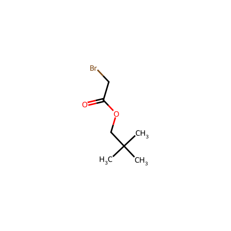 CC(C)(C)COC(=O)CBr